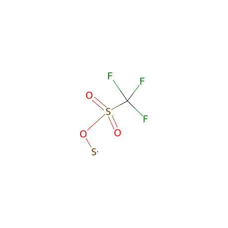 O=S(=O)(O[S])C(F)(F)F